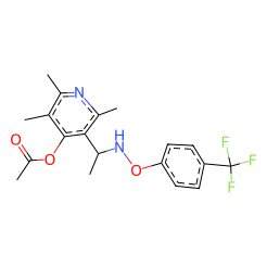 CC(=O)Oc1c(C)c(C)nc(C)c1C(C)NOc1ccc(C(F)(F)F)cc1